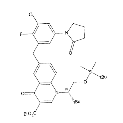 CCOC(=O)c1cn([C@H](CO[Si](C)(C)C(C)(C)C)C(C)(C)C)c2ccc(Cc3cc(N4CCCC4=O)cc(Cl)c3F)cc2c1=O